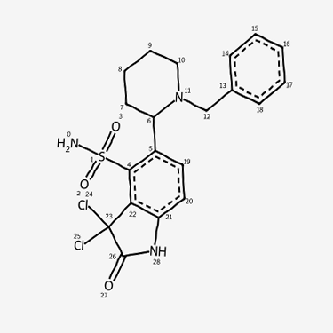 NS(=O)(=O)c1c(C2CCCCN2Cc2ccccc2)ccc2c1C(Cl)(Cl)C(=O)N2